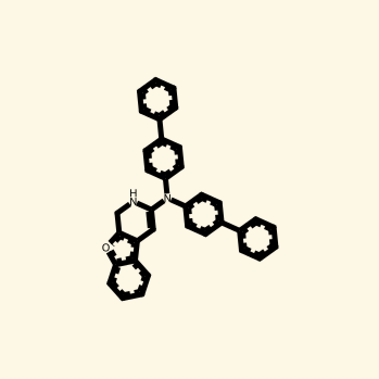 C1=C(N(c2ccc(-c3ccccc3)cc2)c2ccc(-c3ccccc3)cc2)NCc2oc3ccccc3c21